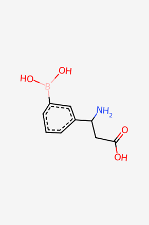 NC(CC(=O)O)c1cccc(B(O)O)c1